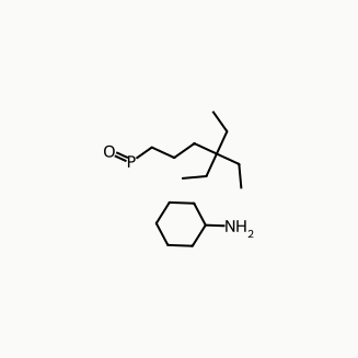 CCC(CC)(CC)CCCP=O.NC1CCCCC1